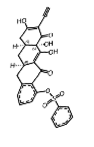 C#CC1=C(O)C[C@@H]2C[C@@H]3Cc4cccc(OS(=O)(=O)c5ccccc5)c4C(=O)C3=C(O)[C@]2(O)C1=O